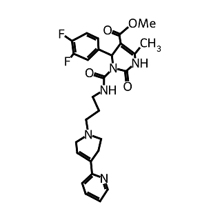 COC(=O)C1=C(C)NC(=O)N(C(=O)NCCCN2CC=C(c3ccccn3)CC2)C1c1ccc(F)c(F)c1